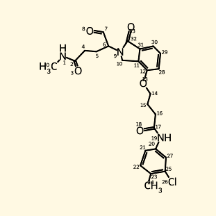 CNC(=O)CCC(C=O)N1Cc2c(OCCCC(=O)Nc3ccc(C)c(Cl)c3)cccc2C1=O